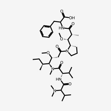 CC[C@H](C)[C@@H]([C@@H](CC(=O)N1CCC[C@H]1[C@H](OC)[C@@H](C)C(=O)NC(Cc1ccccc1)C(=O)O)OC)N(C)C(=O)[C@@H](NC(=O)C(C(C)C)N(C)C)C(C)C